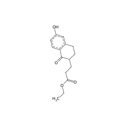 CCOC(=O)CCC1CCc2cc(O)ccc2C1=O